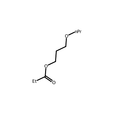 [CH2]CC(=O)OCCCOCCC